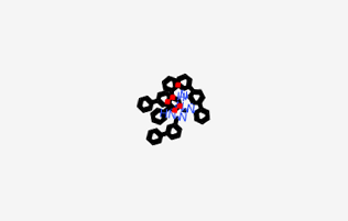 c1ccc(-c2cccc(C3N=C(n4c5ccccc5c5ccc6c7ccccc7n(-c7ccc(-c8ccccc8)cc7-c7ccccc7)c6c54)NC(c4cccc(-c5ccccc5)c4)N3)c2)cc1